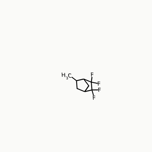 CC1CC2CC1C(F)(F)C2(F)F